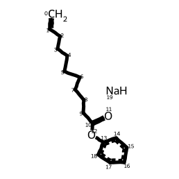 C=CCCCCCCCCC(=O)Oc1ccccc1.[NaH]